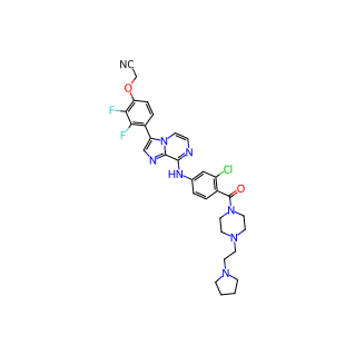 N#CCOc1ccc(-c2cnc3c(Nc4ccc(C(=O)N5CCN(CCN6CCCC6)CC5)c(Cl)c4)nccn23)c(F)c1F